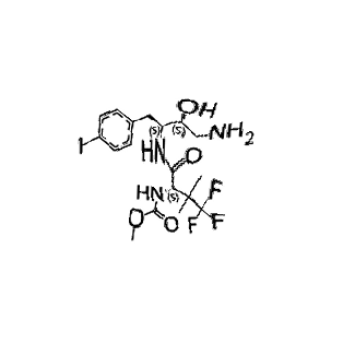 COC(=O)N[C@H](C(=O)N[C@@H](Cc1ccc(I)cc1)[C@@H](O)CN)C(C)(C)C(F)(F)F